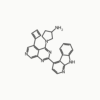 NC1CCN(c2nc(-c3ccnc4[nH]c5ccccc5c34)nc3cncc(C4=CC=C4)c23)C1